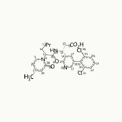 Cc1ccn(C(CC(C)C)C(=O)N[C@H](CC(=O)O)c2cncc(-c3c(Cl)cccc3Cl)c2)c(=O)c1